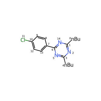 CCCCc1nc(CCCC)nc(-c2ccc(Cl)cc2)n1